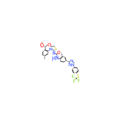 COC(C)c1ccc(C)cc1N1C(=O)CS/C1=N\C(=O)Nc1ccc(-c2ncn(-c3ccc(SC(F)(F)F)cc3)n2)cc1C